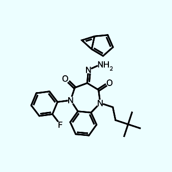 CC(C)(C)CCn1c(=O)c(=NN)c(=O)n(-c2ccccc2F)c2ccccc21.c1cc2cc-2c1